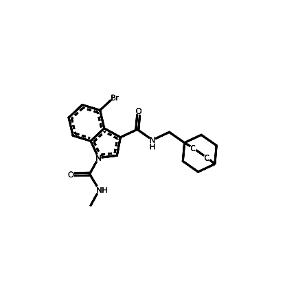 CNC(=O)n1cc(C(=O)NCC23CCC(CC2)CC3)c2c(Br)cccc21